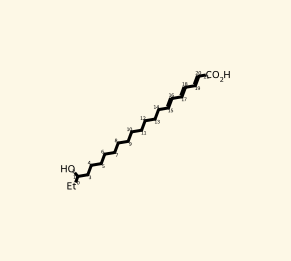 CCC(O)CCCCCCCCCCCCC=CC=CC=CC(=O)O